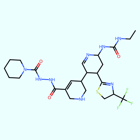 CCNC(=O)NC1CC(C2=NC(C(F)(F)F)CS2)C(C2C=C(C(=O)NNC(=O)N3CCCCC3)CNC2)C=N1